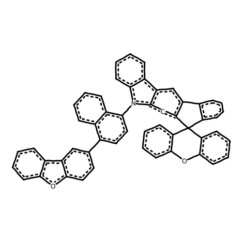 c1ccc2c(c1)Oc1ccccc1C21c2ccccc2-c2cc3c4ccccc4n(-c4ccc(-c5ccc6oc7ccccc7c6c5)c5ccccc45)c3cc21